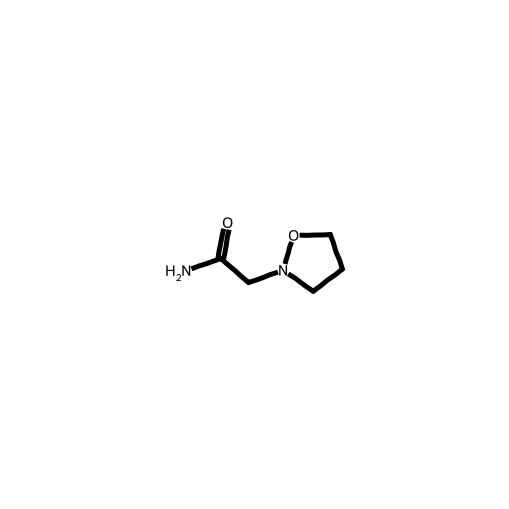 NC(=O)CN1CCCO1